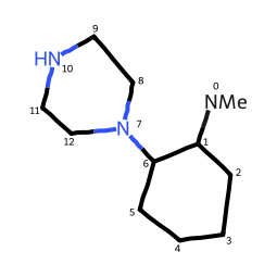 CNC1CCCCC1N1CCNCC1